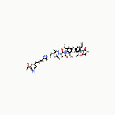 C=CC(CC/C=C/CC(=O)NCCCC(C)CN(C(C)=O)C1CC(=O)N(c2c(CC)cc(Cc3cc(CC)c(N4C(=O)C=CC4=O)c(CC)c3)cc2CC)C1=O)CC(C#N)C(C)=O